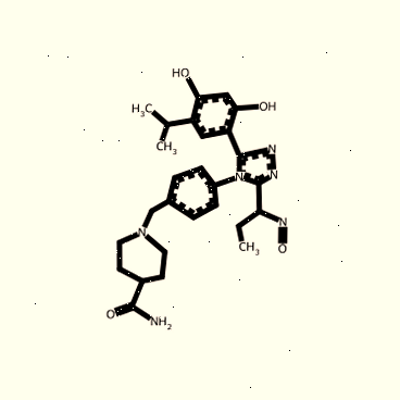 CCC(N=O)c1nnc(-c2cc(C(C)C)c(O)cc2O)n1-c1ccc(CN2CCC(C(N)=O)CC2)cc1